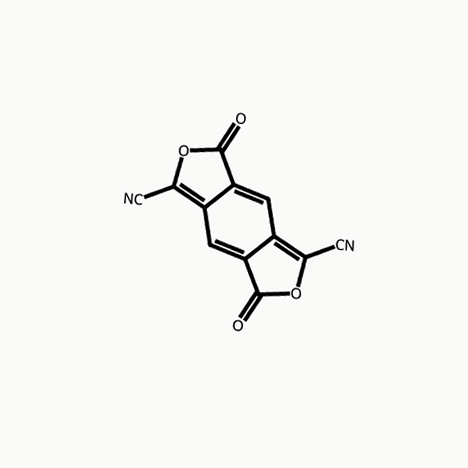 N#CC1=c2cc3c(cc2C(=O)O1)=C(C#N)OC3=O